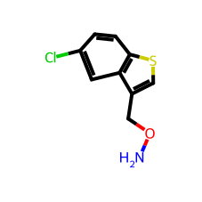 NOCc1csc2ccc(Cl)cc12